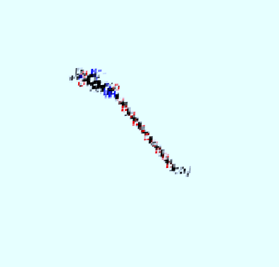 CCCN(OCC)C(=O)C1=Cc2ccc(-c3cnc(C(=O)NCCOCCOCCOCCOCCOCCOCCOCCOCCOCCOCCC(=O)O)nc3)cc2N=C(N)C1